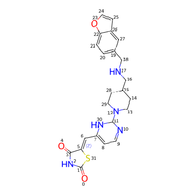 O=C1NC(=O)/C(=C/C2=CC=NC(N3CCC(CNCc4ccc5occc5c4)CC3)N2)S1